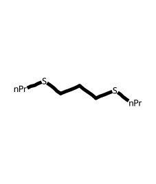 CCCSCCCSCCC